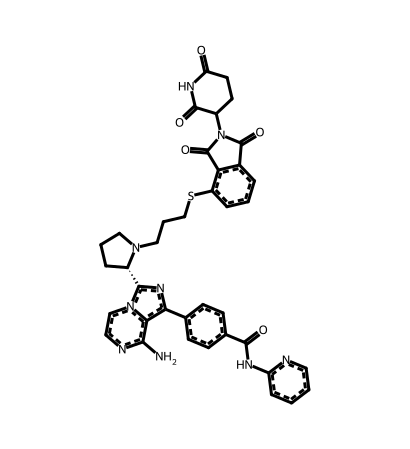 Nc1nccn2c([C@@H]3CCCN3CCCSc3cccc4c3C(=O)N(C3CCC(=O)NC3=O)C4=O)nc(-c3ccc(C(=O)Nc4ccccn4)cc3)c12